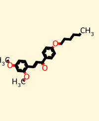 CCCCCCOc1ccc(C(=O)C=Cc2ccc(OC)cc2OC)cc1